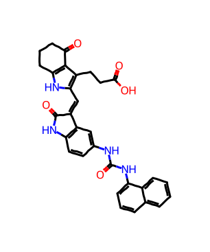 O=C(O)CCc1c(C=C2C(=O)Nc3ccc(NC(=O)Nc4cccc5ccccc45)cc32)[nH]c2c1C(=O)CCC2